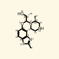 Cc1nc2cc(OC([C@@H](C)O)N3CCNC[C@@H]3C)ccc2s1